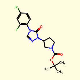 CC(C)(C)OC(=O)N1CCC(n2ncn(-c3ccc(Br)cc3F)c2=O)C1